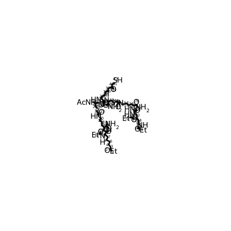 CCC(=O)CCCCCC(NC(=O)CC)C(=O)CC(CCCCNC(=O)CSCC(NC(C)=O)C(=O)NC(CCCCCC(=O)CCS)C(=O)NC(CSCC(=O)NCCCCC(NC(=O)C(CCCCNC(=O)CC)NC(=O)CC)C(N)=O)C(N)=O)C(N)=O